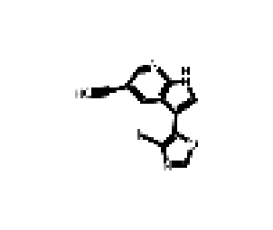 C#Cc1cnc2[nH]cc(-c3ocnc3I)c2c1